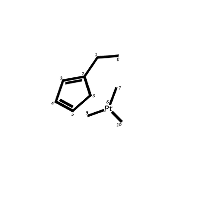 CCC1=CC=CC1.[CH3][Pt]([CH3])[CH3]